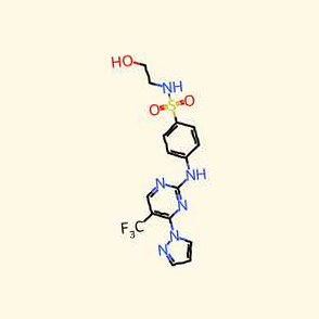 O=S(=O)(NCCO)c1ccc(Nc2ncc(C(F)(F)F)c(-n3cccn3)n2)cc1